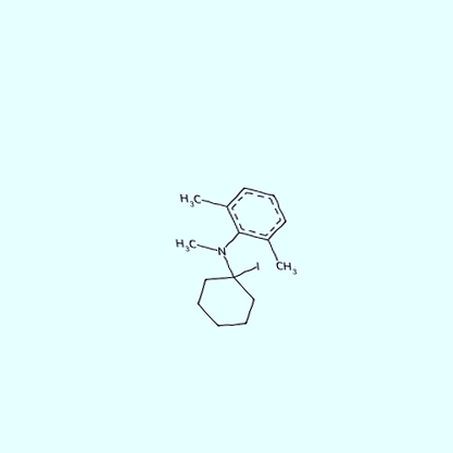 Cc1cccc(C)c1N(C)C1(I)CCCCC1